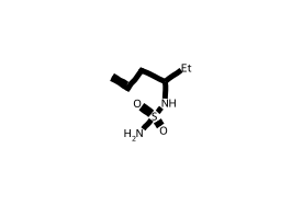 C=CCC(CC)NS(N)(=O)=O